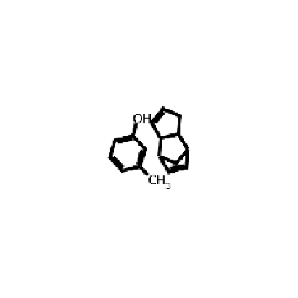 C1=CC2C3C=CC(C3)C2C1.Cc1cccc(O)c1